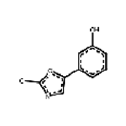 Oc1cccc(-c2cnc(Cl)o2)c1